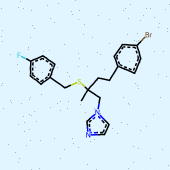 CC(CCc1ccc(Br)cc1)(Cn1ccnc1)SCc1ccc(F)cc1